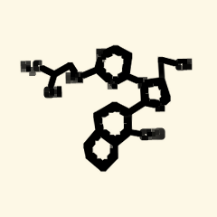 CC(O)CNc1nccc(-n2c(CC#N)cnc2-c2ccc3ccccc3c2C=O)n1